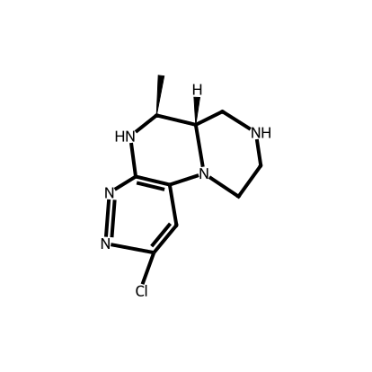 C[C@@H]1Nc2nnc(Cl)cc2N2CCNC[C@@H]12